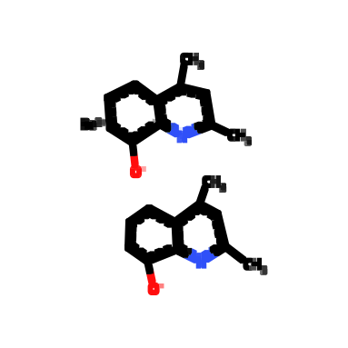 Cc1cc(C)c2cccc([O-])c2n1.Cc1cc(C)c2cccc([O-])c2n1.[Be+2]